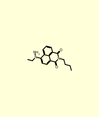 CCCCN1C(=O)c2cccc3c(N(N)CC)ccc(c23)C1=O